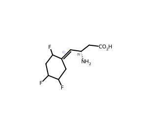 N[C@H](/C=C1\CC(F)C(F)CC1F)CC(=O)O